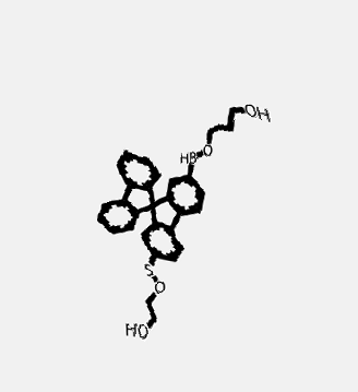 OCCCOBc1ccc2c(c1)C1(c3ccccc3-c3ccccc31)c1cc(SOCCO)ccc1-2